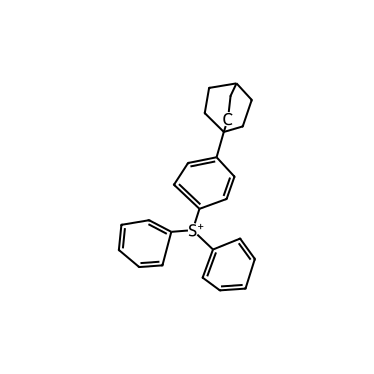 c1ccc([S+](c2ccccc2)c2ccc(C34CCC(CC3)CC4)cc2)cc1